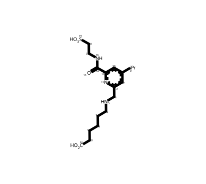 CC(C)c1cc(CNCCCCCC(=O)O)nc(C(=O)NCCS(=O)(=O)O)c1